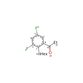 CCCCCCc1c(F)cc(F)cc1C(=O)CC